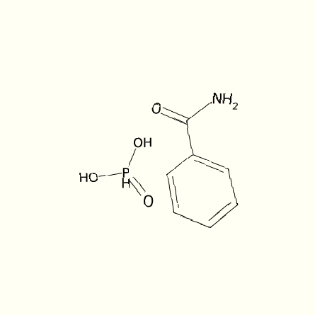 NC(=O)c1ccccc1.O=[PH](O)O